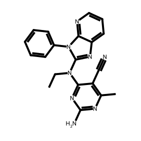 CCN(c1nc(N)nc(C)c1C#N)c1nc2cccnc2n1-c1ccccc1